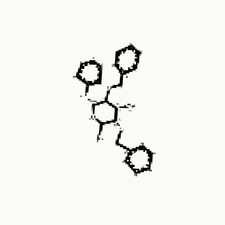 CCC1O[C@H](Sc2ccccc2)C(OCc2ccccc2)[C@@H](OC(C)=O)[C@@H]1OCc1ccccc1